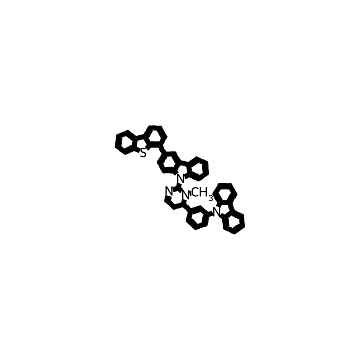 CN1C(c2cccc(-n3c4ccccc4c4ccccc43)c2)CC=NC1n1c2ccccc2c2cc(-c3cccc4c3sc3ccccc34)ccc21